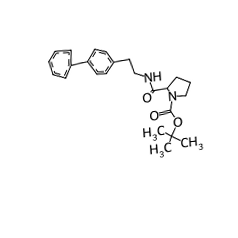 CC(C)(C)OC(=O)N1CCCC1C(=O)NCCc1ccc(-c2ccccc2)cc1